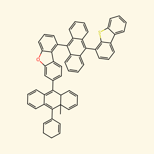 CC12C=CC=CC1C(c1ccc3c(c1)oc1cccc(-c4c5ccccc5c(-c5cccc6c5sc5ccccc56)c5ccccc45)c13)=c1ccccc1=C2C1=CCCC=C1